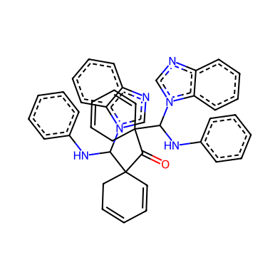 O=C(C1(C(Nc2ccccc2)n2cnc3ccccc32)C=CC=CC1)C1(C(Nc2ccccc2)n2cnc3ccccc32)C=CC=CC1